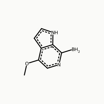 Bc1ncc(OC)c2cc[nH]c12